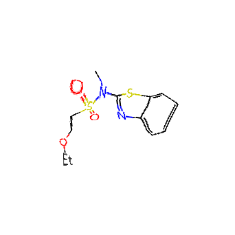 CCOCCS(=O)(=O)N(C)c1nc2ccccc2s1